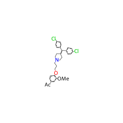 COc1cc(C(C)=O)ccc1OCCCN1CCC(=C(c2ccc(Cl)cc2)c2ccc(Cl)cc2)CC1